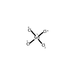 [Cl][Sm]([Cl])([Cl])[Cl]